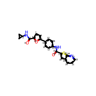 O=C(NC1CC1)c1ccc(-c2ccc(NC(=O)c3cc4cccnc4s3)cc2)o1